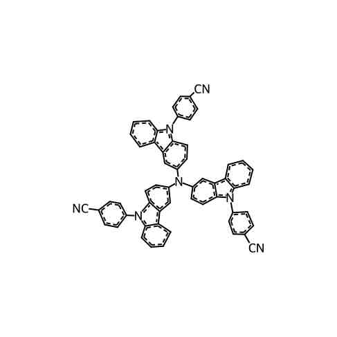 N#Cc1ccc(-n2c3ccccc3c3cc(N(c4ccc5c(c4)c4ccccc4n5-c4ccc(C#N)cc4)c4ccc5c(c4)c4ccccc4n5-c4ccc(C#N)cc4)ccc32)cc1